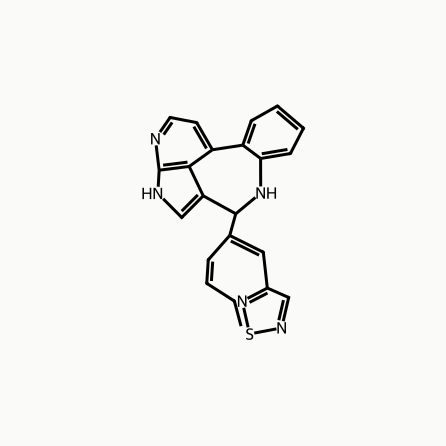 CC/C=C\C(=C/c1cnsn1)C1Nc2ccccc2-c2ccnc3[nH]cc1c23